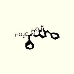 O=C(O)[C@@H](NCc1ccc(Cc2ccccc2)[nH]c1=O)c1ccccc1